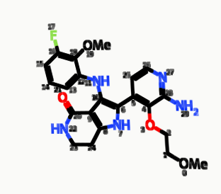 COCCOc1c(-c2[nH]c3c(c2Nc2cccc(F)c2OC)C(=O)NCC3)ccnc1N